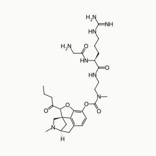 CCCC(=O)C1Oc2c(OC(=O)N(C)CCNC(=O)[C@H](CCCNC(=N)N)NC(=O)CN)ccc3c2[C@]12C[C@@H](C3)N(C)C2